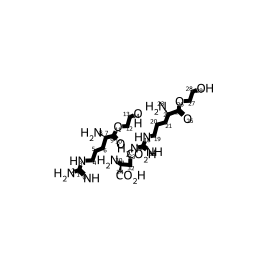 N=C(N)NCCC[C@H](N)C(=O)OCCO.N=C(N)NCCC[C@H](N)C(=O)OCCO.N[C@@H](CC(=O)O)C(=O)O